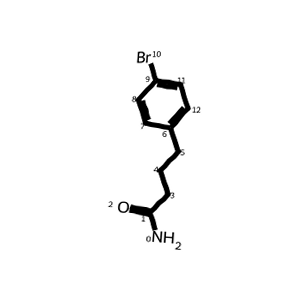 NC(=O)CCCc1ccc(Br)cc1